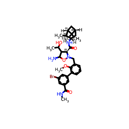 CNC(=O)c1cc(Br)cc(-c2cccc(CN3OC(N)C(C(C)O)[C@H]3C(=O)N[C@H]3C[C@H]4C[C@@H]([C@@H]3C)C4(C)C)c2OC)c1